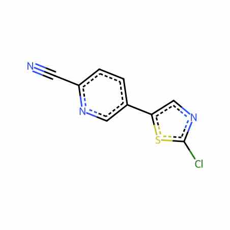 N#Cc1ccc(-c2cnc(Cl)s2)cn1